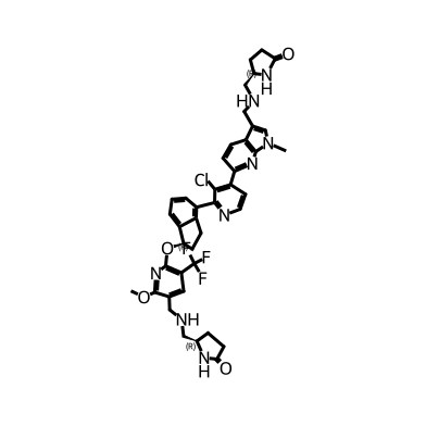 COc1nc(O[C@@H]2CCc3c(-c4nccc(-c5ccc6c(CNC[C@H]7CCC(=O)N7)cn(C)c6n5)c4Cl)cccc32)c(C(F)(F)F)cc1CNC[C@H]1CCC(=O)N1